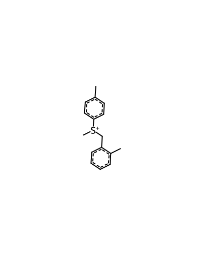 Cc1ccc([S+](C)Cc2ccccc2C)cc1